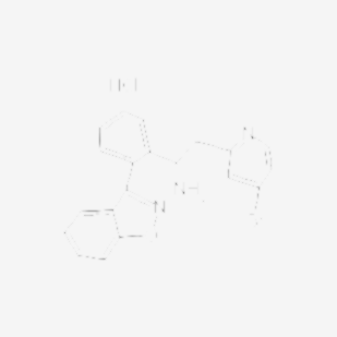 Cl.N[C@@H](Cc1cc(Br)ccn1)c1ccccc1-c1noc2ccccc12